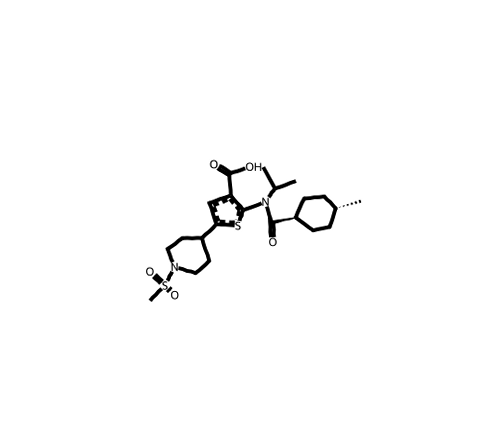 CC(C)N(c1sc(C2CCN(S(C)(=O)=O)CC2)cc1C(=O)O)C(=O)[C@H]1CC[C@H](C)CC1